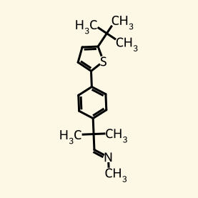 C/N=C/C(C)(C)c1ccc(-c2ccc(C(C)(C)C)s2)cc1